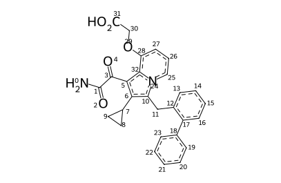 NC(=O)C(=O)c1c(C2CC2)c(Cc2ccccc2-c2ccccc2)n2cccc(OCC(=O)O)c12